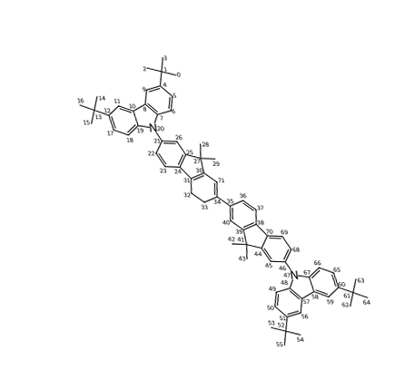 CC(C)(C)c1ccc2c(c1)c1cc(C(C)(C)C)ccc1n2-c1ccc2c(c1)C(C)(C)C1=C2CCC(c2ccc3c(c2)C(C)(C)c2cc(-n4c5ccc(C(C)(C)C)cc5c5cc(C(C)(C)C)ccc54)ccc2-3)=C1